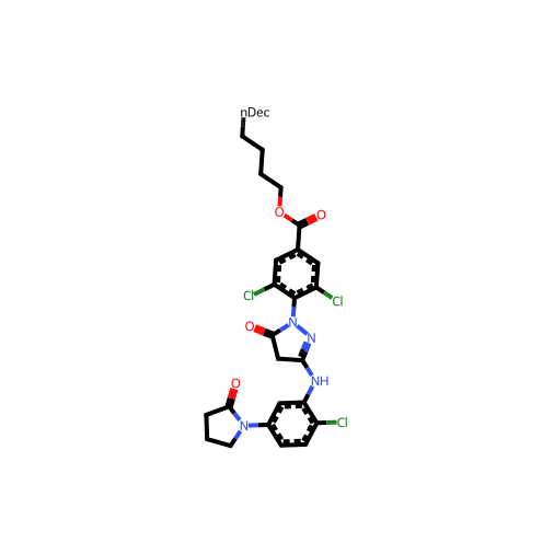 CCCCCCCCCCCCCCOC(=O)c1cc(Cl)c(N2N=C(Nc3cc(N4CCCC4=O)ccc3Cl)CC2=O)c(Cl)c1